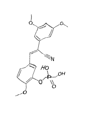 COc1cc(OC)cc(C(C#N)=Cc2ccc(OC)c(OP(=O)(O)O)c2)c1